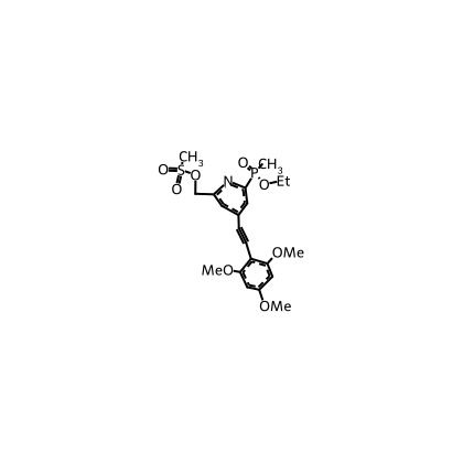 CCOP(C)(=O)c1cc(C#Cc2c(OC)cc(OC)cc2OC)cc(COS(C)(=O)=O)n1